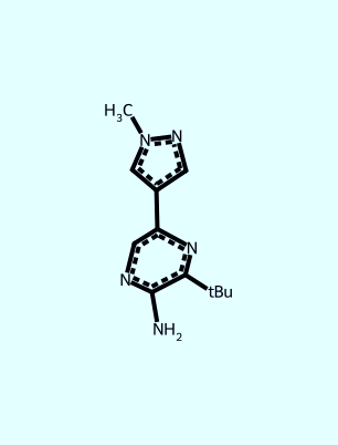 Cn1cc(-c2cnc(N)c(C(C)(C)C)n2)cn1